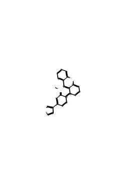 C[n+]1c2c3c(cccc3c3ccc(-c4ccsc4)cc31)Oc1ccccc1-2